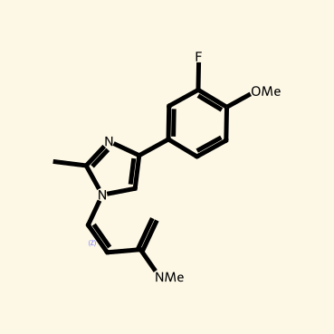 C=C(/C=C\n1cc(-c2ccc(OC)c(F)c2)nc1C)NC